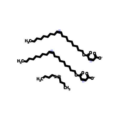 CCCCCCCC/C=C\CCCCCCCCOC(=O)/C=C\C(=O)[O-].CCCCCCCC/C=C\CCCCCCCCOC(=O)/C=C\C(=O)[O-].CCC[CH2][Sn+2][CH2]CCC